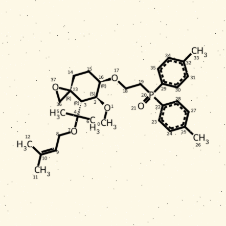 CO[C@H]1[C@H](C(C)(C)OCC=C(C)C)[C@]2(CC[C@H]1OCCP(=O)(c1ccc(C)cc1)c1ccc(C)cc1)CO2